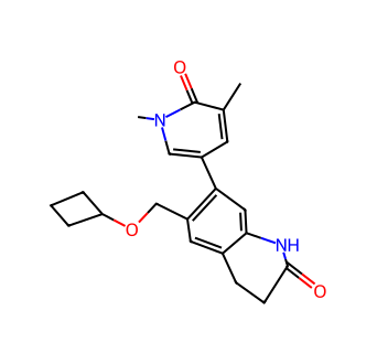 Cc1cc(-c2cc3c(cc2COC2CCC2)CCC(=O)N3)cn(C)c1=O